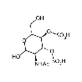 CC(=O)N[C@H]1C(O)O[C@H](CO)[C@@H](OS(=O)(=O)O)[C@@H]1OS(=O)(=O)O